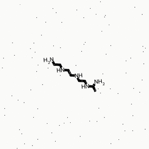 CC(N)NCCNCCNCCN